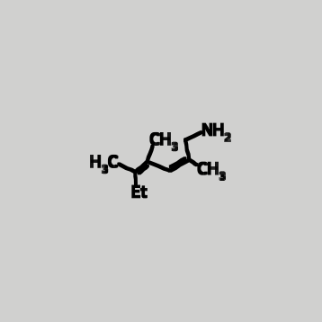 CC/C(C)=C(C)\C=C(\C)CN